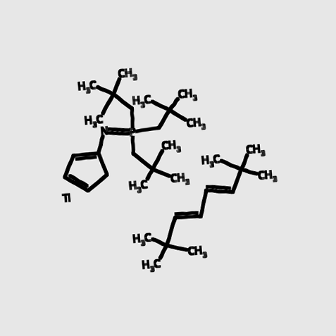 CC(C)(C)C=CC=CC(C)(C)C.CC(C)(C)CP(CC(C)(C)C)(CC(C)(C)C)=NC1=CC=CC1.[Ti]